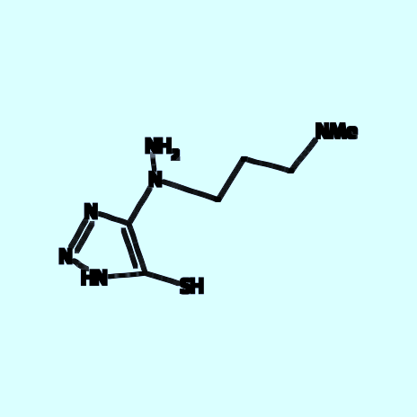 CNCCCN(N)c1nn[nH]c1S